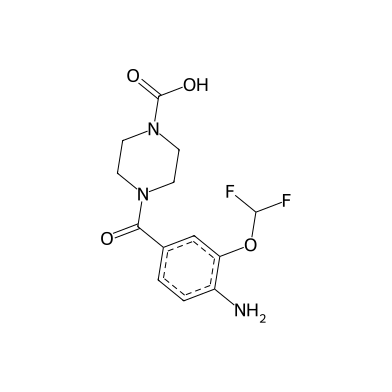 Nc1ccc(C(=O)N2CCN(C(=O)O)CC2)cc1OC(F)F